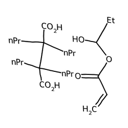 C=CC(=O)OC(O)CC.CCCC(CCC)(C(=O)O)C(CCC)(CCC)C(=O)O